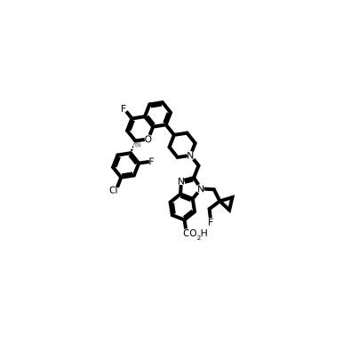 O=C(O)c1ccc2nc(CN3CCC(c4cccc5c4O[C@H](c4ccc(Cl)cc4F)C=C5F)CC3)n(CC3(CF)CC3)c2c1